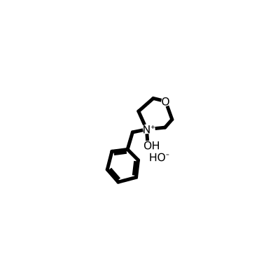 O[N+]1(Cc2ccccc2)CCOCC1.[OH-]